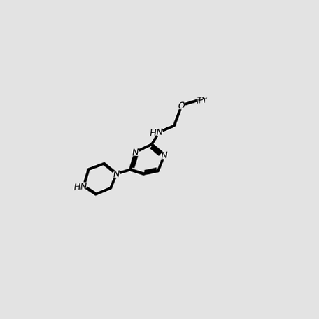 CC(C)OCNc1nccc(N2CCNCC2)n1